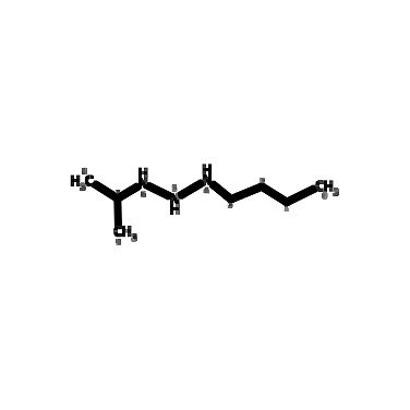 CCCCNNNC(C)C